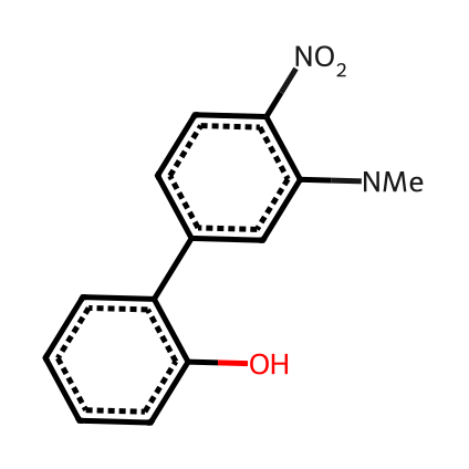 CNc1cc(-c2ccccc2O)ccc1[N+](=O)[O-]